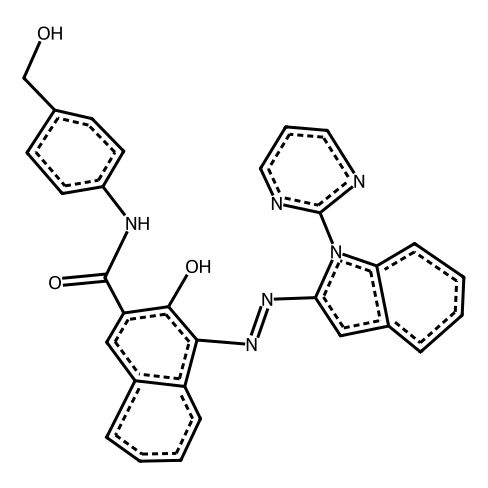 O=C(Nc1ccc(CO)cc1)c1cc2ccccc2c(/N=N/c2cc3ccccc3n2-c2ncccn2)c1O